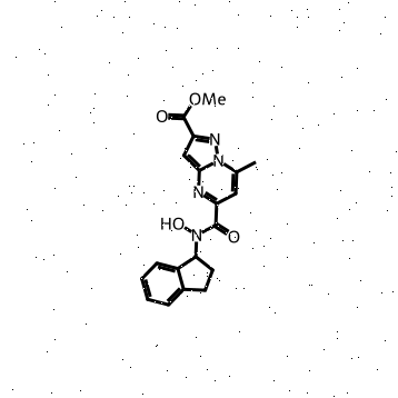 COC(=O)c1cc2nc(C(=O)N(O)C3CCc4ccccc43)cc(C)n2n1